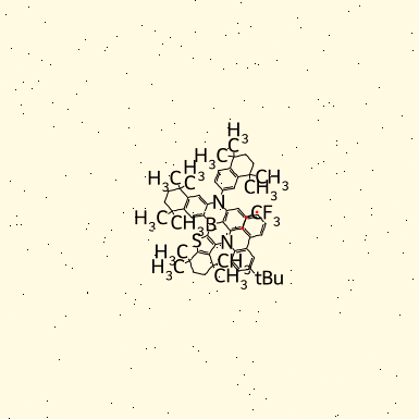 CC(C)(C)c1ccc(N2c3cc(C(F)(F)F)cc4c3B(c3cc5c(cc3N4c3ccc4c(c3)C(C)(C)CCC4(C)C)C(C)(C)CCC5(C)C)c3sc4c(c32)C(C)(C)CCC4(C)C)c(-c2ccccc2)c1